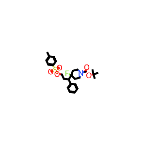 Cc1ccc(S(=O)(=O)OCCC(c2ccccc2)C2(F)CCN(C(=O)OC(C)(C)C)CC2)cc1